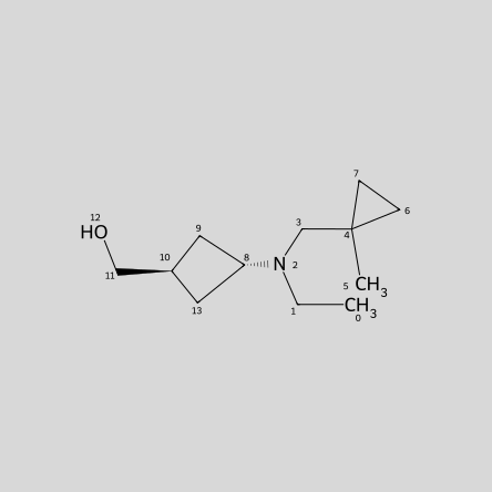 CCN(CC1(C)CC1)[C@H]1C[C@H](CO)C1